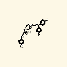 OC(CSCc1ccc(Cl)cc1)CN1CCN(CCCC(c2ccc(F)cc2)c2ccc(F)cc2)CC1